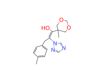 Cc1ccc(C/C(=C(\O)C2(C)COCOC2)n2cncn2)cc1